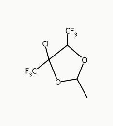 CC1OC(C(F)(F)F)C(Cl)(C(F)(F)F)O1